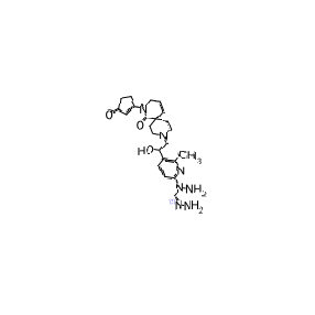 Cc1nc(N(N)/C=N\N)ccc1C(O)CN1CCC2(CCCN(C3=CC(=O)CC3)C2=O)CC1